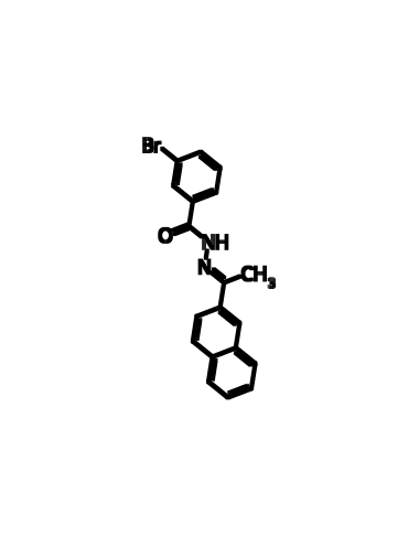 CC(=NNC(=O)c1cccc(Br)c1)c1ccc2ccccc2c1